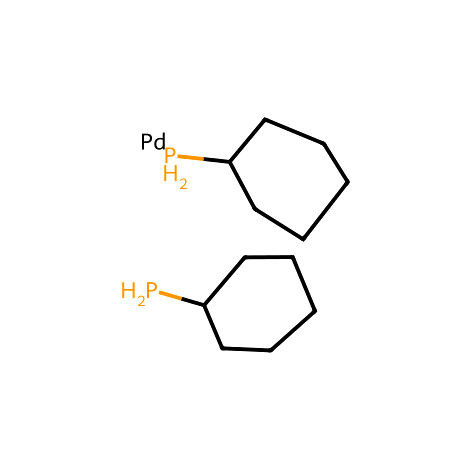 PC1CCCCC1.PC1CCCCC1.[Pd]